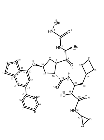 CC(C)(C)NC(=O)N[C@H](C(=O)N1C[C@H](Oc2cc(-c3ccccn3)nc3ccsc23)C[C@H]1C(=O)N[C@@H](CC1CCC1)C(O)C(=O)NC1CC1)C(C)(C)C